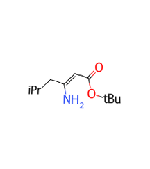 CC(C)CC(N)=CC(=O)OC(C)(C)C